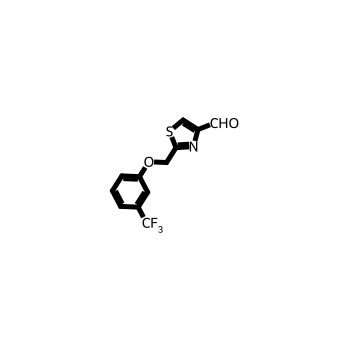 O=Cc1csc(COc2cccc(C(F)(F)F)c2)n1